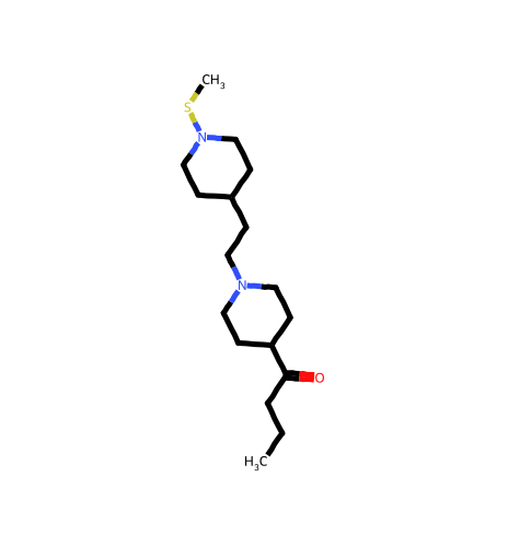 CCCC(=O)C1CCN(CCC2CCN(SC)CC2)CC1